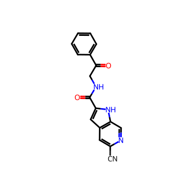 N#Cc1cc2cc(C(=O)NCC(=O)c3ccccc3)[nH]c2cn1